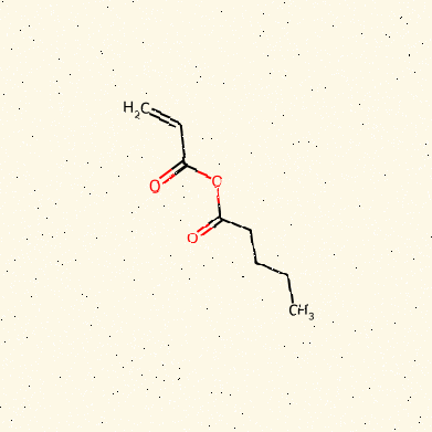 C=CC(=O)OC(=O)CCCC